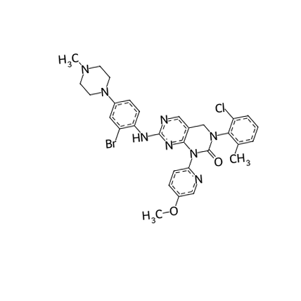 COc1ccc(N2C(=O)N(c3c(C)cccc3Cl)Cc3cnc(Nc4ccc(N5CCN(C)CC5)cc4Br)nc32)nc1